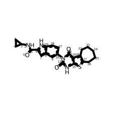 O=C(NC1CC1)c1cc2cc(-n3c(=O)[nH]c4sc5c(c4c3=O)CCCCC5)ccc2[nH]1